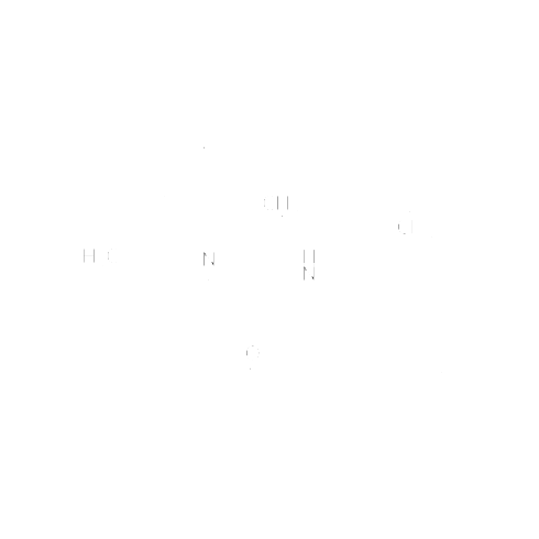 CCN(C(=O)Nc1ccccc1C)C1(C)CC1